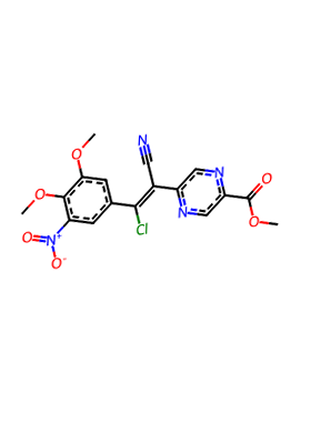 COC(=O)c1cnc(C(C#N)=C(Cl)c2cc(OC)c(OC)c([N+](=O)[O-])c2)cn1